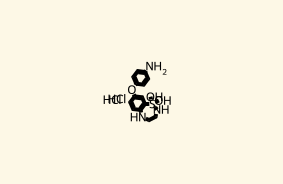 Cl.Cl.Nc1ccc(Oc2ccc3c(c2)S(O)(O)NCCN3)cc1